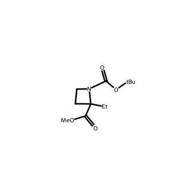 CCC1(C(=O)OC)CCN1C(=O)OC(C)(C)C